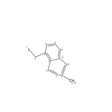 Cc1ccc2c(CI)cccc2c1